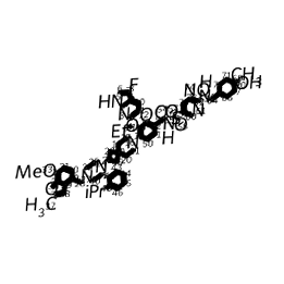 CCOc1nc2[nH]cc(F)c2cc1Oc1cc(N2CCC3(CC2)CC(N2CCN(Cc4ccc(OC)c5oc(C)cc45)C[C@H]2c2ccccc2C(C)C)C3)ccc1C(=O)NS(=O)(=O)c1cnc(NCC2CCC(C)(O)CC2)c([N+](=O)[O-])c1